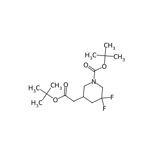 CC(C)(C)OC(=O)CC1CN(C(=O)OC(C)(C)C)CC(F)(F)C1